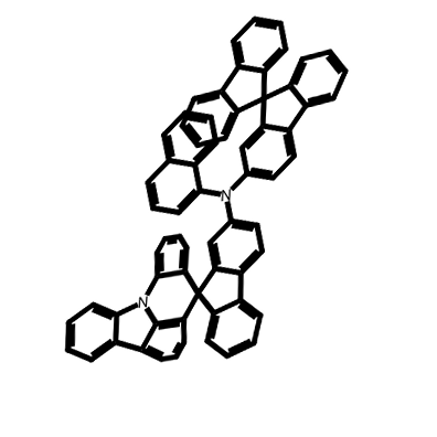 c1ccc2c(c1)-c1ccccc1C21c2ccccc2-c2ccc(N(c3ccc4c(c3)C3(c5ccccc5-4)c4ccccc4-n4c5ccccc5c5cccc3c54)c3cccc4ccccc34)cc21